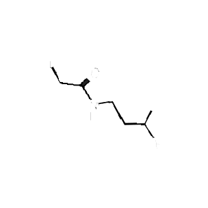 O=C(CI)NCCC(F)F